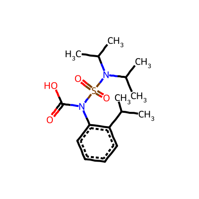 CC(C)c1ccccc1N(C(=O)O)S(=O)(=O)N(C(C)C)C(C)C